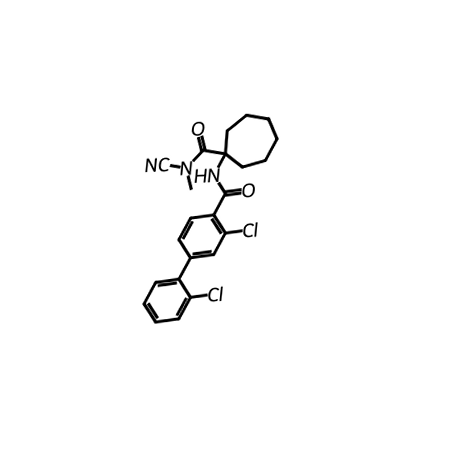 CN(C#N)C(=O)C1(NC(=O)c2ccc(-c3ccccc3Cl)cc2Cl)CCCCCC1